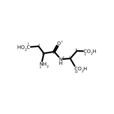 NC(CC(=O)O)C(=O)NC(CC(=O)O)C(=O)O